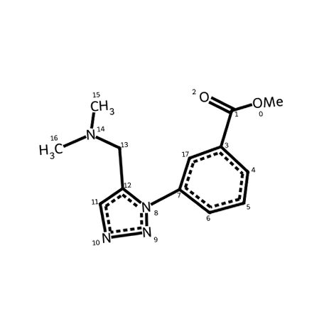 COC(=O)c1cccc(-n2nncc2CN(C)C)c1